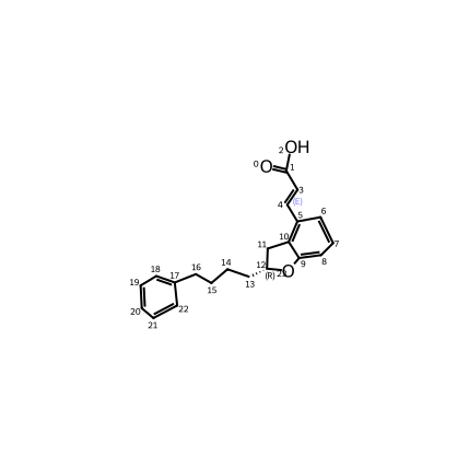 O=C(O)/C=C/c1cccc2c1C[C@@H](CCCCc1ccccc1)O2